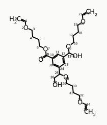 C=COCCCCOC(=O)c1cc(C(O)OCCCCOC=C)cc(C(CO)OCCCCOC=C)c1